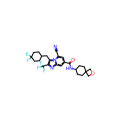 N#Cc1cc(C(=O)NC2CCC3(CC2)COC3)cc2nc(C(F)(F)F)c(CC3CCC(F)(F)CC3)n12